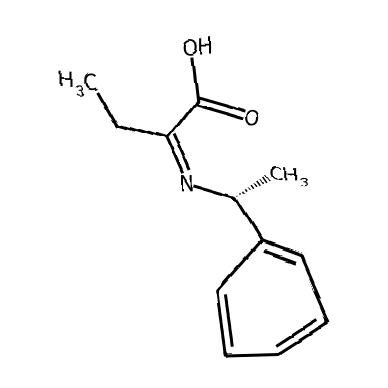 CC/C(=N/[C@H](C)c1ccccc1)C(=O)O